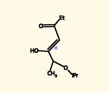 CCC(=O)/C=C(\O)C(C)OC(C)C